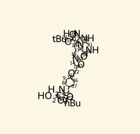 CCCCS(=O)(=O)C(N)(Cc1ccc(OCC2CN(CCCC(C(=N)N)(C(=O)OC(C)(C)C)N3CCNCC3)C(=O)O2)cc1)C(=O)O